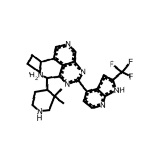 CC1(C)CNCCC1C(N)c1nc(-c2ccnc3[nH]c(C(F)(F)F)cc23)nc2cncc(C3CCC3)c12